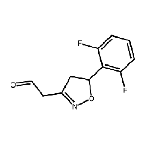 O=CCC1=NOC(c2c(F)cccc2F)C1